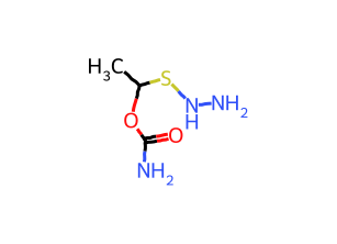 CC(OC(N)=O)SNN